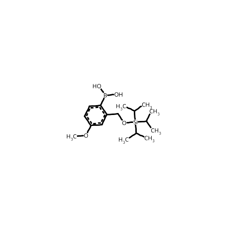 COc1ccc(B(O)O)c(CO[Si](C(C)C)(C(C)C)C(C)C)c1